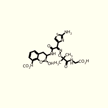 CC(C)(ON=C(C(=O)NC1Cc2cccc(C(=O)O)c2OB1O)c1csc(N)n1)C(=O)NCC(=O)O